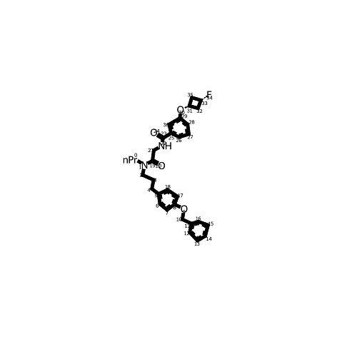 CCCN(CCCc1ccc(OCc2ccccc2)cc1)C(=O)CNC(=O)c1cccc(O[C@H]2C[C@@H](F)C2)c1